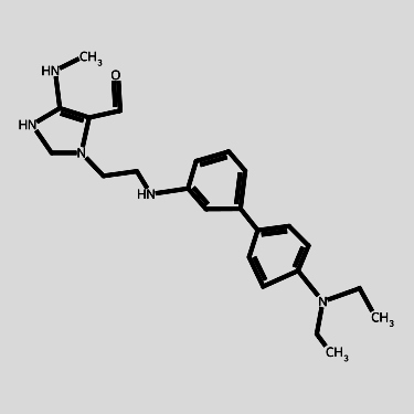 CCN(CC)c1ccc(-c2cccc(NCCN3CNC(NC)=C3C=O)c2)cc1